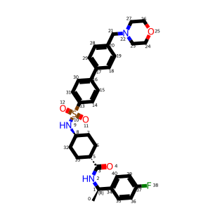 C[C@@H](NC(=O)[C@H]1CC[C@H](NS(=O)(=O)c2ccc(-c3ccc(CN4CCOCC4)cc3)cc2)CC1)c1ccc(F)cc1